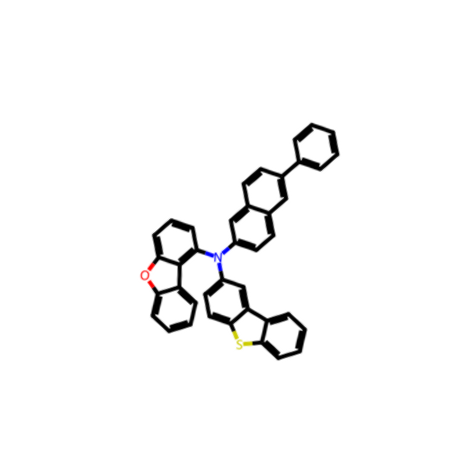 c1ccc(-c2ccc3cc(N(c4ccc5sc6ccccc6c5c4)c4cccc5oc6ccccc6c45)ccc3c2)cc1